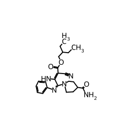 CCC(CC)COC(=O)C(C#N)=C1Nc2ccccc2N=C1N1CCC(C(N)=O)CC1